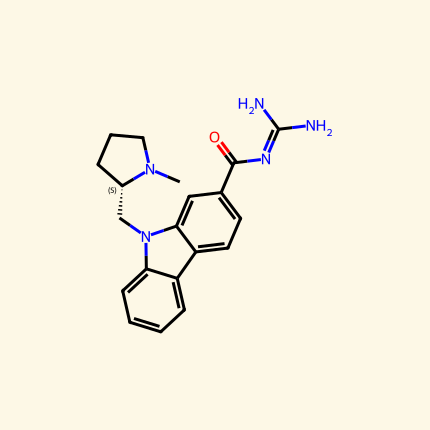 CN1CCC[C@H]1Cn1c2ccccc2c2ccc(C(=O)N=C(N)N)cc21